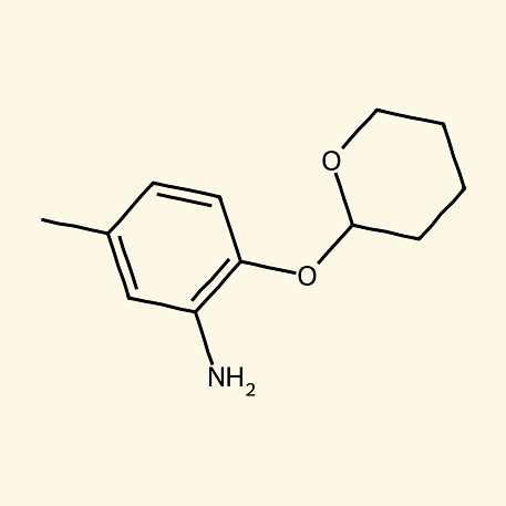 Cc1ccc(OC2CCCCO2)c(N)c1